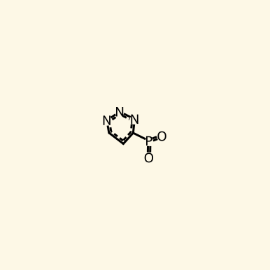 O=P(=O)c1ccnnn1